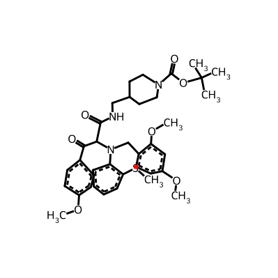 COc1ccc(C(=O)C(C(=O)NCC2CCN(C(=O)OC(C)(C)C)CC2)N(Cc2ccc(OC)cc2OC)c2ccccc2SC)cc1